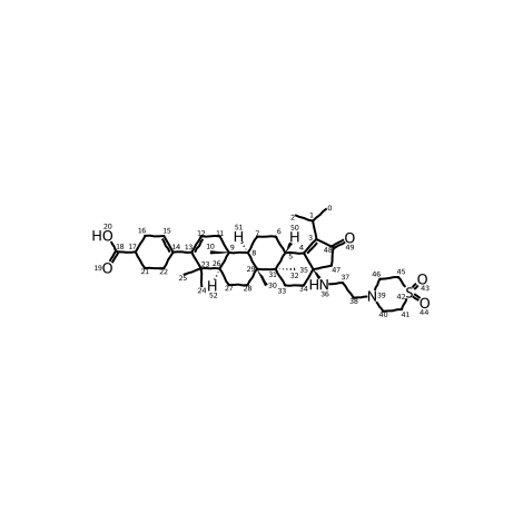 CC(C)C1=C2[C@H]3CC[C@@H]4[C@@]5(C)CC=C(C6=CCC(C(=O)O)CC6)C(C)(C)[C@@H]5CC[C@@]4(C)[C@]3(C)CC[C@@]2(NCCN2CCS(=O)(=O)CC2)CC1=O